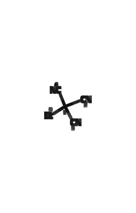 CCC(C#N)(C#N)C#N